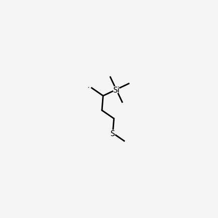 [CH2]C(CCSC)[Si](C)(C)C